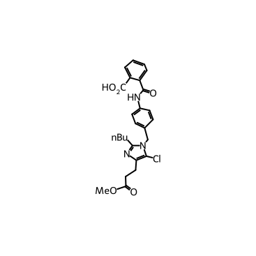 CCCCc1nc(CCC(=O)OC)c(Cl)n1Cc1ccc(NC(=O)c2ccccc2C(=O)O)cc1